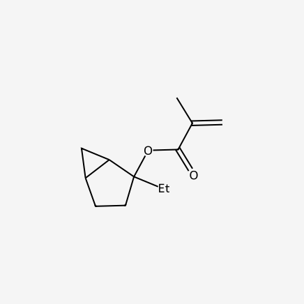 C=C(C)C(=O)OC1(CC)CCC2CC21